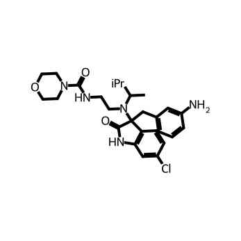 CC(C)C(C)N(CCNC(=O)N1CCOCC1)C1(Cc2cccc(N)c2)C(=O)Nc2cc(Cl)ccc21